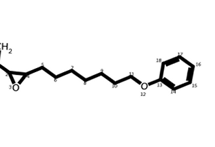 C=CC1OC1CCCCCCCOc1ccccc1